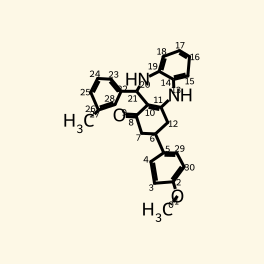 COc1ccc(C2CC(=O)C3=C(C2)Nc2ccccc2NC3c2cccc(C)c2)cc1